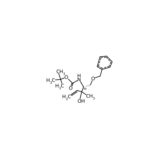 C=CC(C)(O)[C@@H](COCc1ccccc1)NC(=O)OC(C)(C)C